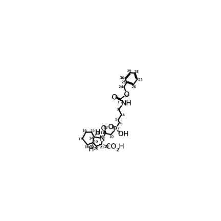 O=C(NCCCCP(=O)(O)CC(=O)N1[C@@H]2CCCC[C@@H]2C[C@H]1C(=O)O)OCc1ccccc1